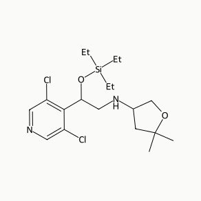 CC[Si](CC)(CC)OC(CNC1COC(C)(C)C1)c1c(Cl)cncc1Cl